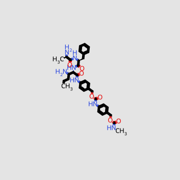 CCCC(N)[C@H](NC(=O)[C@H](Cc1ccccc1)NC(=O)[C@@H](C)N)C(=O)Nc1ccc(COC(=O)Nc2ccc(COC(=O)NC)cc2)cc1